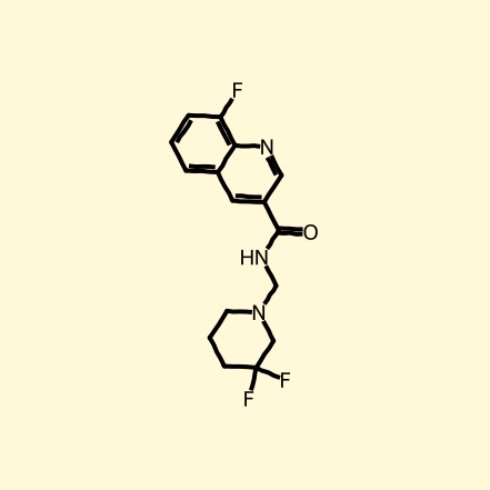 O=C(NCN1CCCC(F)(F)C1)c1cnc2c(F)cccc2c1